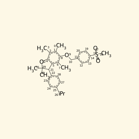 Cc1c(C)c2c(c(C)c1OCc1ccc(S(C)(=O)=O)cc1)C(c1ccc(C(C)C)cc1)C(C)(C)O2